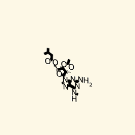 CNc1nc(N)nc2c1ncn2[C@@H]1O[C@H](COC(=O)CC(C)C)[C@@H](OC(C)=O)[C@@H]1C